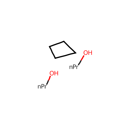 C1CCC1.CCCO.CCCO